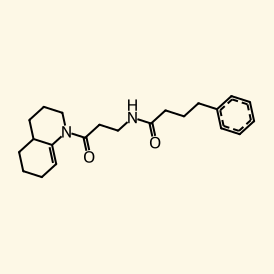 O=C(CCCc1ccccc1)NCCC(=O)N1CCCC2CCCC=C21